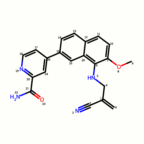 C=C(C#N)CNc1c(OC)ccc2ccc(-c3ccnc(C(N)=O)c3)cc12